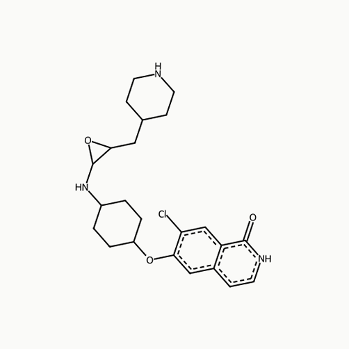 O=c1[nH]ccc2cc(OC3CCC(NC4OC4CC4CCNCC4)CC3)c(Cl)cc12